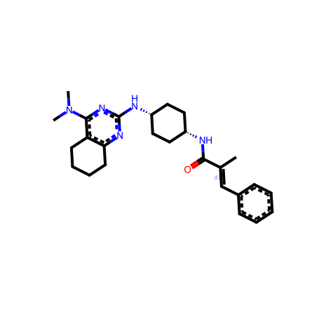 C/C(=C\c1ccccc1)C(=O)N[C@H]1CC[C@@H](Nc2nc3c(c(N(C)C)n2)CCCC3)CC1